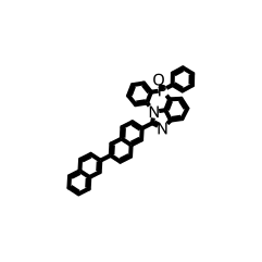 O=P1(c2ccccc2)c2ccccc2-n2c(-c3ccc4cc(-c5ccc6ccccc6c5)ccc4c3)nc3cccc1c32